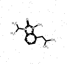 CC(C)Cc1cccc2c1n(C)c(=O)n2C(C)C